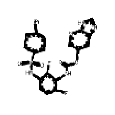 CC(C)c1ccc(S(=O)(=O)Nc2ccc(F)c(NC(=O)Oc3cnc4[nH]cnc4c3)c2F)cc1